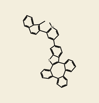 Cc1c(-c2cc(-c3ccc4c5c(sc4c3)-c3ccccc3-c3ccccc3-c3ccccc3-5)cc[n+]2C)ccc2ccccc12